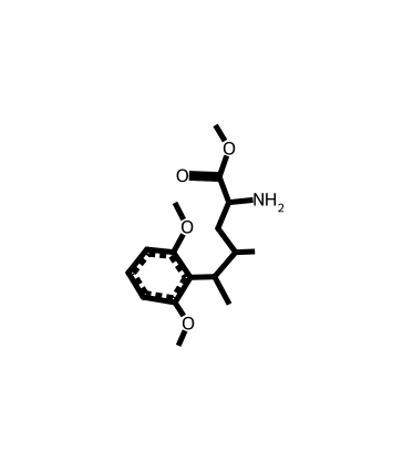 COC(=O)C(N)CC(C)C(C)c1c(OC)cccc1OC